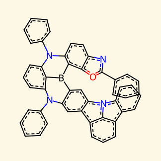 c1ccc(-c2nc3ccc4c(c3o2)B2c3cc5c(cc3N(c3ccccc3)c3cccc(c32)N4c2ccccc2)c2cccc3c4ccccc4n5c32)cc1